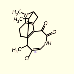 CC1C2CC3=C(CCC4=C3C(=O)C(=O)N/C=C(/Cl)C41C)N2C